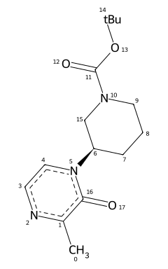 Cc1nccn([C@@H]2CCCN(C(=O)OC(C)(C)C)C2)c1=O